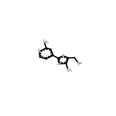 Cc1cc(-c2nc(CO)c(C)s2)ccn1